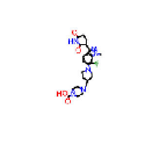 Cn1nc(C2CCC(=O)NC2=O)c2ccc(N3CCC(CN4CCN(C(=O)O)CC4)CC3)c(F)c21